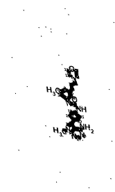 Cc1cc(CCCN2CCOCC2)c2oc(Nc3ccc(-c4cn(C)c5ncnc(N)c45)cc3)nc2c1